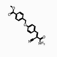 COC(=O)c1ccc(COc2ccc(/C=C(\C#N)C(N)=O)cc2)cc1